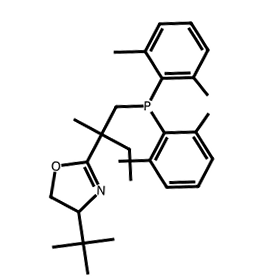 CCC(C)(CP(c1c(C)cccc1C)c1c(C)cccc1C)C1=NC(C(C)(C)C)CO1